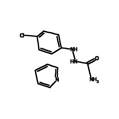 NC(=O)NNc1ccc(Cl)cc1.c1ccncc1